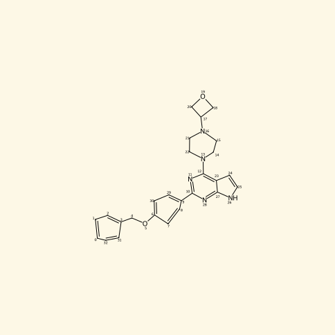 c1ccc(COc2ccc(-c3nc(N4CCN(C5COC5)CC4)c4cc[nH]c4n3)cc2)cc1